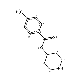 Cc1ccc(C(=O)OC2CCNCC2)nc1